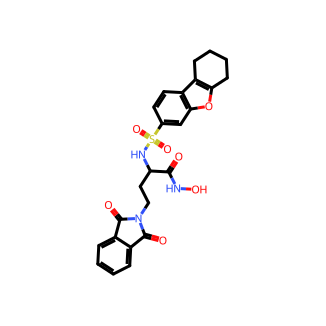 O=C(NO)C(CCN1C(=O)c2ccccc2C1=O)NS(=O)(=O)c1ccc2c3c(oc2c1)CCCC3